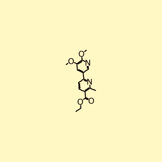 CCOC(=O)c1ccc(-c2cnc(OC)c(OC)c2)nc1C